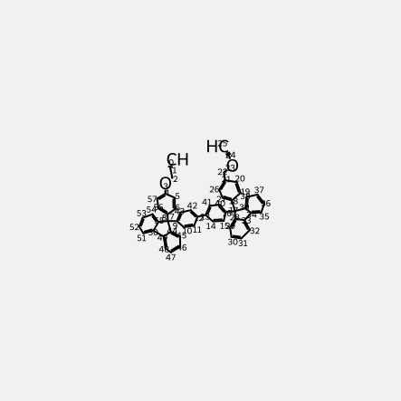 C#CCOc1ccc(C2(c3ccc(-c4ccc(C5(c6ccc(COC#C)cc6)c6ccccc6-c6ccccc65)cc4)cc3)c3ccccc3-c3ccccc32)cc1